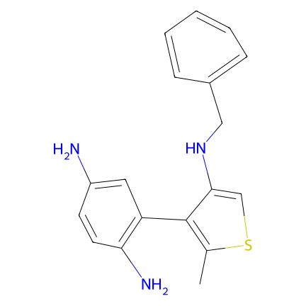 Cc1scc(NCc2ccccc2)c1-c1cc(N)ccc1N